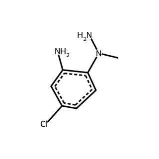 CN(N)c1ccc(Cl)cc1N